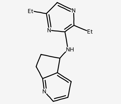 CCc1cnc(CC)c(NC2CCc3ncccc32)n1